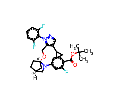 CC(C)(C)OC(=O)c1ccc(N2C[C@H]3CC[C@]2(OCc2c(C4CC4)cnn2-c2c(F)cccc2F)C3)cc1F